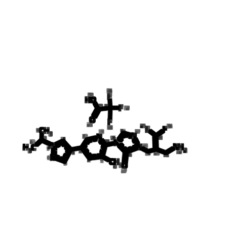 Cc1cc(-c2cnn(C(C)C)c2)cnc1-n1cnn(CC(CN)=C(F)F)c1=O.O=C(O)C(F)(F)F